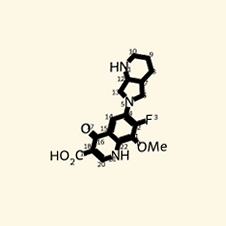 COc1c(F)c(N2CC3CCCNC3C2)cc2c(=O)c(C(=O)O)c[nH]c12